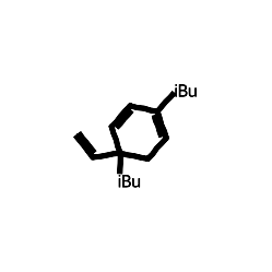 C=CC1(C(C)CC)C=CC(C(C)CC)=CC1